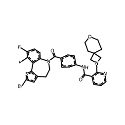 O=C(Nc1ccc(C(=O)N2CCc3cc(Br)sc3-c3c2ccc(F)c3F)cc1)c1cccnc1N1CC2(CCOCC2)C1